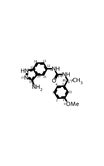 COc1cccc([C@@H](C)NC(=O)Nc2ccc3[nH]nc(N)c3c2)c1